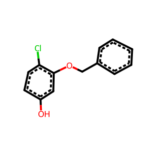 Oc1ccc(Cl)c(OCc2ccccc2)c1